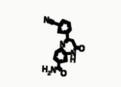 N#Cc1cccc(C2=Nc3ccc(C(N)=O)cc3NC(=O)C2)c1